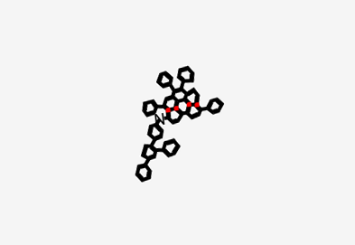 c1ccc(-c2ccc(-c3ccc(N(c4ccc(-c5ccc(-c6ccccc6)cc5-c5ccccc5)cc4)c4ccccc4-c4ccc5c(c4)c(-c4ccccc4)c(-c4ccccc4)c4ccccc45)cc3)cc2)cc1